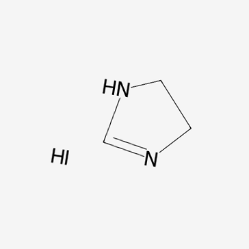 C1=NCCN1.I